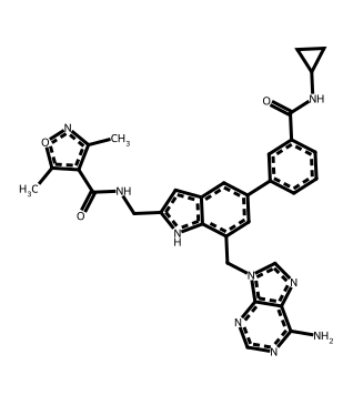 Cc1noc(C)c1C(=O)NCc1cc2cc(-c3cccc(C(=O)NC4CC4)c3)cc(Cn3cnc4c(N)ncnc43)c2[nH]1